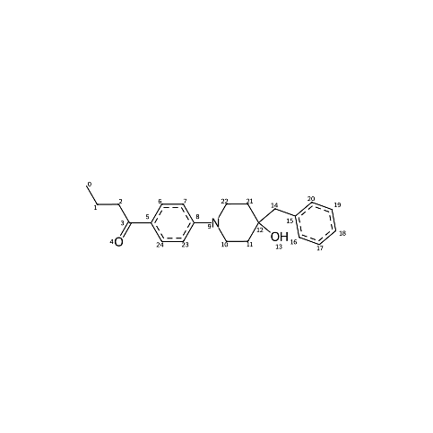 CCCC(=O)c1ccc(N2CCC(O)(Cc3ccccc3)CC2)cc1